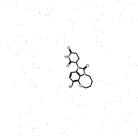 O=C1CCC(n2c(=O)n3c4c(c(Br)ccc42)OCCCC3)C(=O)N1